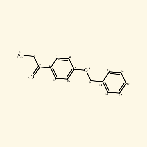 CC(=O)CC(=O)c1ccc(OCc2ccccc2)cc1